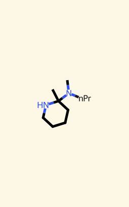 CCCN(C)C1(C)CCCCN1